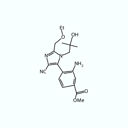 CCOCc1nc(C#N)c(-c2ccc(C(=O)OC)cc2N)n1CC(C)(C)O